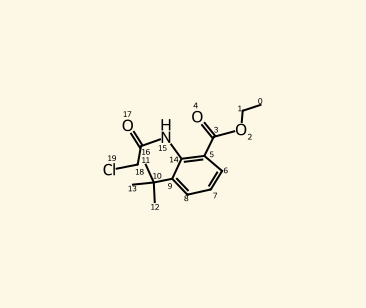 CCOC(=O)c1cccc(C(C)(C)C)c1NC(=O)CCl